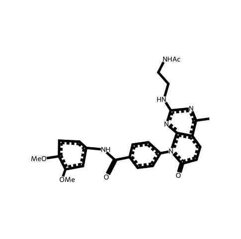 COc1ccc(NC(=O)c2ccc(-n3c(=O)ccc4c(C)nc(NCCNC(C)=O)nc43)cc2)cc1OC